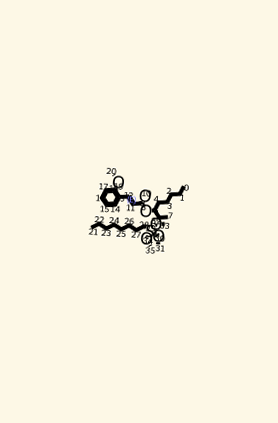 CCCCCC(CC)OC(=O)/C=C/c1ccccc1OC.CCCCCCCC[Si](OC)(OC)OC